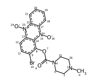 CN1CCN(C(=O)Oc2c(Br)ccc3c2[n+]([O-])c2ccccc2[n+]3[O-])CC1